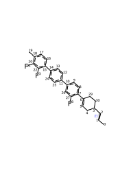 C/C=C/C1CC=C(c2ccc(-c3ccc(-c4ccc(C)c(F)c4F)cc3)cc2F)CC1